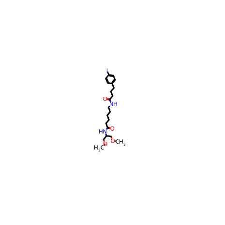 COCC(COC)NC(=O)CCCCCNC(=O)CCCc1ccc(I)cc1